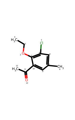 CCOc1c(Cl)cc(C)cc1C(C)=O